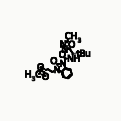 Cc1nnc([C@@H](NC(=O)n2c(=O)n(CCS(C)(=O)=O)c3ccccc32)C(C)(C)C)o1